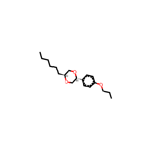 CCCCCC[C@H]1CO[C@H](c2ccc(OCCC)cc2)CO1